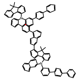 CC1(C)c2ccccc2-c2c(N(c3cccc(-c4ccc(-c5ccccc5)cc4)c3)c3ccccc3-c3ccc(-c4cccc5cc(-c6cccc7c6C(C)(C)c6cccc(N(c8cccc(-c9ccc(-c%10ccccc%10)cc9)c8)c8ccc9ccccc9c8)c6-7)ccc45)cc3)cccc21